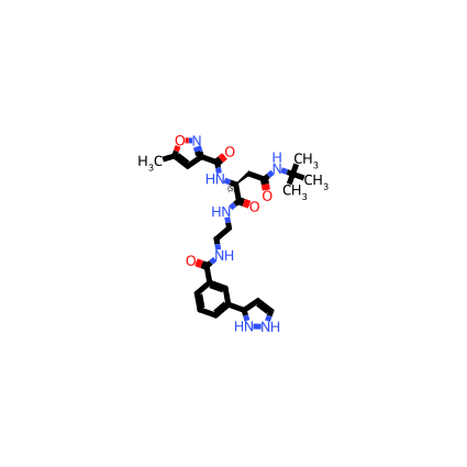 Cc1cc(C(=O)N[C@@H](CC(=O)NC(C)(C)C)C(=O)NCCNC(=O)c2cccc(C3C=CNN3)c2)no1